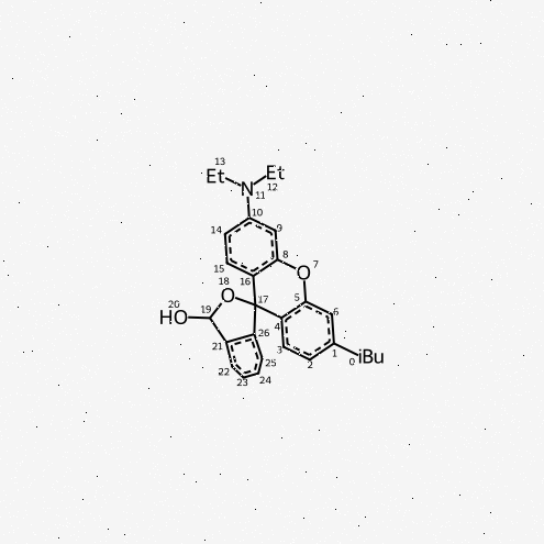 CCC(C)c1ccc2c(c1)Oc1cc(N(CC)CC)ccc1C21OC(O)c2ccccc21